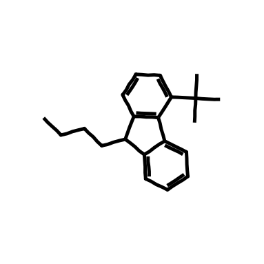 CCCCC1c2ccccc2-c2c1cccc2C(C)(C)C